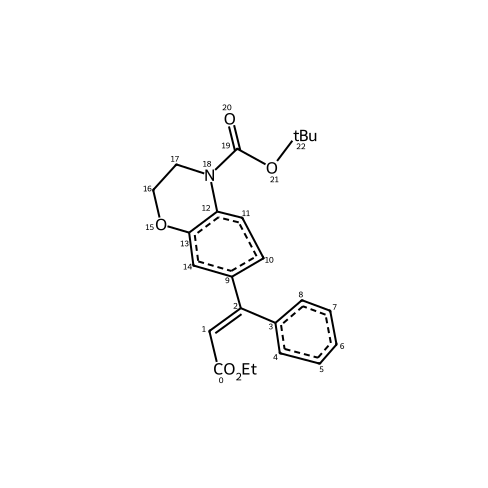 CCOC(=O)C=C(c1ccccc1)c1ccc2c(c1)OCCN2C(=O)OC(C)(C)C